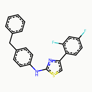 Fc1ccc(-c2csc(Nc3ccc(Cc4ccccc4)cc3)n2)c(F)c1